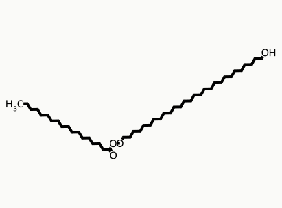 CCCCCCCCCCCCCCCCCC(=O)OOCCCCCCCCCCCCCCCCCCCCCCCCCCCCO